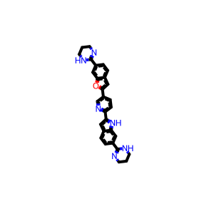 c1cc2cc(-c3ccc(-c4cc5ccc(C6=NCCCN6)cc5o4)cn3)[nH]c2cc1C1=NCCCN1